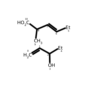 C=CC(O)CC.CCC=CC(C)C(=O)O